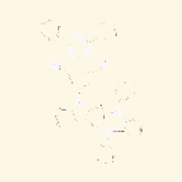 N#Cc1cc(-n2c3ccccc3c3cc4c(cc32)N(c2ccccc2)c2ccccc2N4c2ccccc2)cc(C#N)c1-c1nc(-c2ccccc2)nc(-c2ccccc2)n1